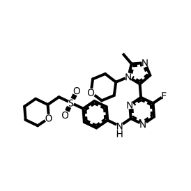 Cc1ncc(-c2nc(Nc3ccc(S(=O)(=O)CC4CCCCO4)cc3)ncc2F)n1C1CCOCC1